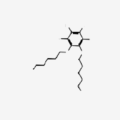 CCCCCCOc1c(Br)c(Br)c(Br)c(Br)c1OCCCCCC